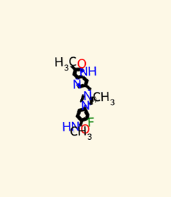 CCc1cc2ncc(CN3CCN(c4ccc(C(=O)NC)c(F)c4)C[C@@H]3C)cc2[nH]c1=O